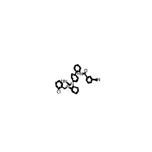 N#Cc1cccc(C(=O)Nc2ccccc2-c2ccc(-n3c(=N)n(Cc4ccccc4Cl)c4ccccc43)cc2)c1